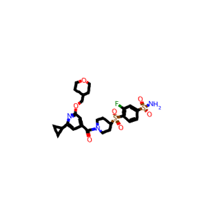 NS(=O)(=O)c1ccc(S(=O)(=O)C2CCN(C(=O)c3cc(OCC4CCOCC4)nc(C4CC4)c3)CC2)c(F)c1